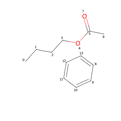 CCCCOC(C)=O.c1ccccc1